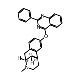 CN1CC[C@]23CCCC[C@H]2[C@H]1Cc1ccc(Oc2nc(-c4ccccc4)nc4ccccc24)cc13